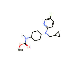 CN(C(=O)OC(C)(C)C)[C@H]1CC[C@H](N(CC2CC2)c2ccc(F)cn2)CC1